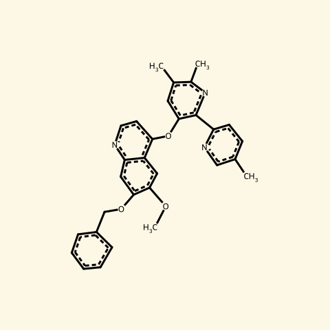 COc1cc2c(Oc3cc(C)c(C)nc3-c3ccc(C)cn3)ccnc2cc1OCc1ccccc1